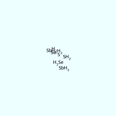 S.S.[SbH3].[SbH3].[SeH2].[SeH2]